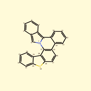 c1ccc2c(c1)cn1c2c2ccccc2c2ccc3sc4ccccc4c3c21